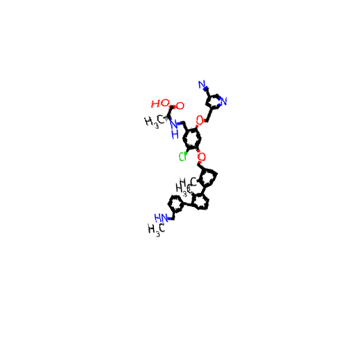 CNCc1cccc(-c2cccc(-c3cccc(COc4cc(OCc5cncc(C#N)c5)c(CN[C@H](C)C(=O)O)cc4Cl)c3C)c2C)c1